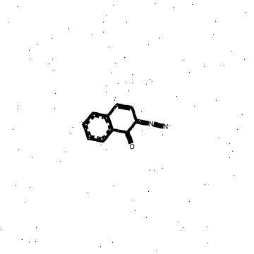 [N-]=[N+]=C1C=Cc2ccccc2C1=O